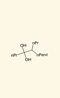 CCCCCC(CCC)C(O)(O)CCC